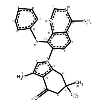 Cc1cn(-c2ccc3c(N)ncnc3c2Sc2ccccc2)c2c1C(=O)CC(C)(C)C2